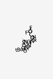 C[C@H]1CC(=O)N(C[C@H]2CN(C(=O)OC(C)(C)C)[C@H](C)CN2CC(=O)N2CC(C)(C)c3ncc(Cc4ccc(F)cc4F)cc32)C1